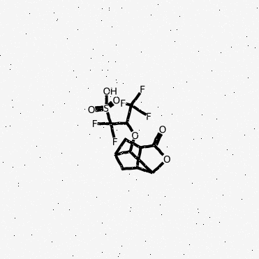 O=C1OC2C3CC(CC13)C2OC(C(F)(F)F)C(F)(F)S(=O)(=O)O